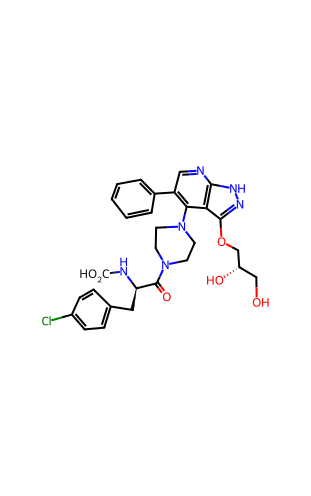 O=C(O)N[C@H](Cc1ccc(Cl)cc1)C(=O)N1CCN(c2c(-c3ccccc3)cnc3[nH]nc(OC[C@@H](O)CO)c23)CC1